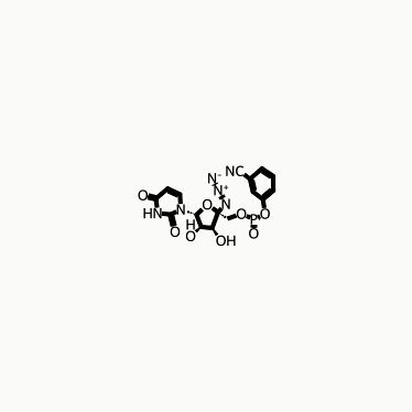 N#Cc1cccc(O[P](=O)OC[C@@]2(N=[N+]=[N-])O[C@@H](n3ccc(=O)[nH]c3=O)[C@H](O)[C@@H]2O)c1